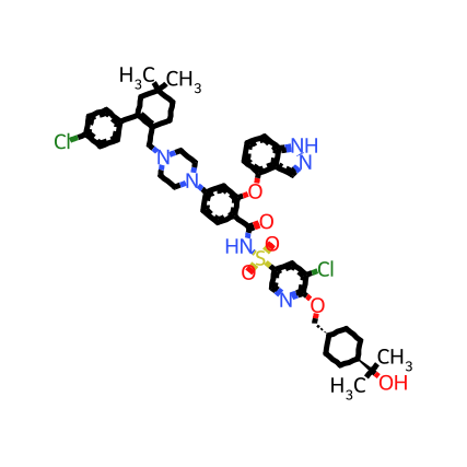 CC1(C)CCC(CN2CCN(c3ccc(C(=O)NS(=O)(=O)c4cnc(OC[C@H]5CC[C@H](C(C)(C)O)CC5)c(Cl)c4)c(Oc4cccc5[nH]ncc45)c3)CC2)=C(c2ccc(Cl)cc2)C1